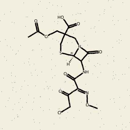 CON=C(C(=O)CCl)C(=O)NC1C(=O)N2CC(COC(C)=O)(C(=O)O)CS[C@H]12